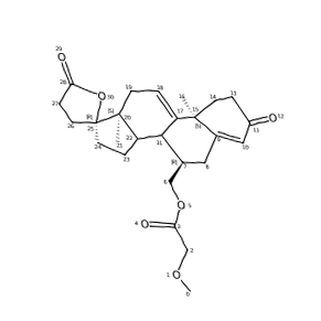 COCC(=O)OC[C@@H]1CC2=CC(=O)CC[C@]2(C)C2=CC[C@@]3(C)C(CC[C@@]34CCC(=O)O4)C21